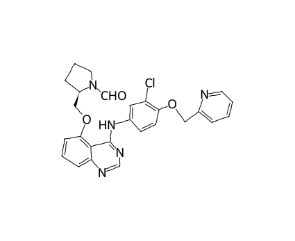 O=CN1CCC[C@@H]1COc1cccc2ncnc(Nc3ccc(OCc4ccccn4)c(Cl)c3)c12